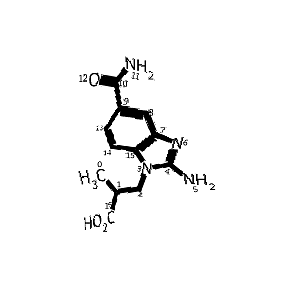 CC(Cn1c(N)nc2cc(C(N)=O)ccc21)C(=O)O